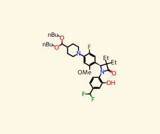 CCCCOC(OCCCC)C1CCN(c2cc(OC)c([C@@H]3N(c4ccc(C(F)F)cc4O)C(=O)C3(CC)CC)cc2F)CC1